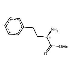 COC(=O)[C@H](N)CCc1ccccc1